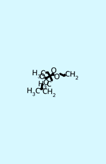 C=CCOC(=O)C(CC)(CC)C(=O)OCC(=C)C